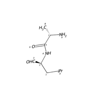 CC(C)C[C@@H](C=O)NC(=O)[C@H](C)N